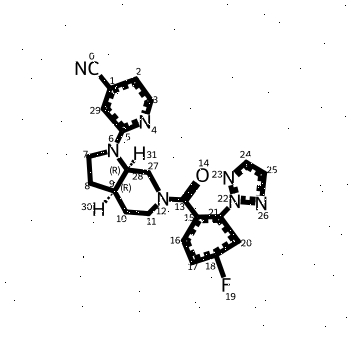 N#Cc1ccnc(N2CC[C@@H]3CCN(C(=O)c4ccc(F)cc4-n4nccn4)C[C@@H]32)c1